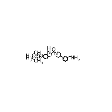 CC1(C)OB(c2ccc3c(c2)NC(C(=O)N2CCC(c4cccc(CN)c4)CC2)C3)OC1(C)C